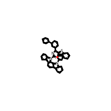 c1ccc(-c2cccc(-c3nc(-n4c5ccccc5c5ccc6c7ccccc7n(-c7ccccc7)c6c54)nc4c3sc3ccccc34)c2)cc1